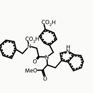 COC(=O)C(Cc1c[nH]c2ccccc12)N(Cc1ccc(C(=O)O)cc1)C(=O)CN(Cc1ccccc1)C(=O)O